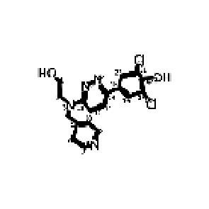 OCCN(Cc1ccncc1)c1ccc(-c2cc(Cl)c(O)c(Cl)c2)nn1